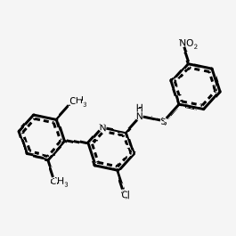 Cc1cccc(C)c1-c1cc(Cl)cc(NSc2cccc([N+](=O)[O-])c2)n1